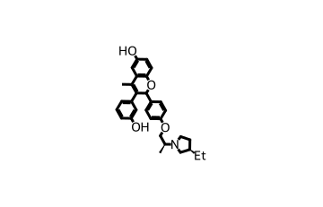 CC[C@@H]1CCN([C@@H](C)COc2ccc(C3Oc4ccc(O)cc4C(C)=C3c3cccc(O)c3)cc2)C1